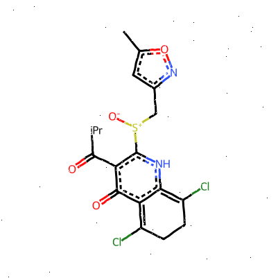 Cc1cc(C[S+]([O-])c2[nH]c3c(c(=O)c2C(=O)C(C)C)=C(Cl)CCC=3Cl)no1